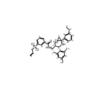 C=CCS(=O)(=O)c1cccc(C(=O)N[C@@H](Cc2cc(F)cc(F)c2)[C@@H](O)CNC2(c3cccc(CC)c3)CC2)c1